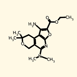 CCOC(=O)c1oc2nc(N(C)C)c3c(c2c1N)CC(C)(C)OC3